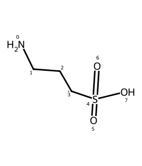 NCC[CH]S(=O)(=O)O